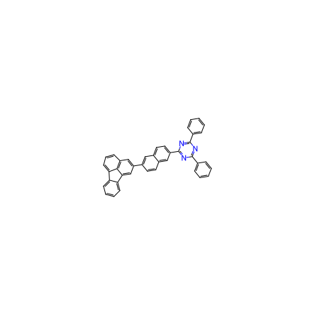 c1ccc(-c2nc(-c3ccccc3)nc(-c3ccc4cc(-c5cc6c7c(cccc7c5)-c5ccccc5-6)ccc4c3)n2)cc1